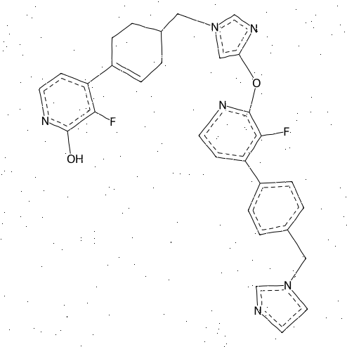 Oc1nccc(C2=CCC(Cn3cnc(Oc4nccc(-c5ccc(Cn6ccnc6)cc5)c4F)c3)CC2)c1F